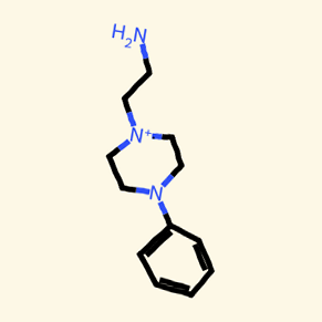 NCC[N+]1CCN(c2ccccc2)CC1